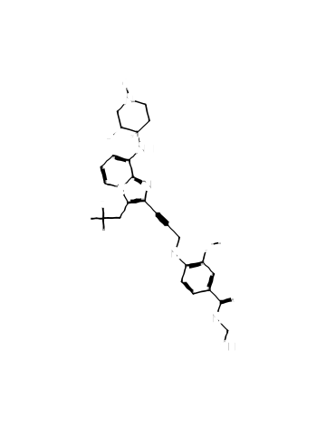 CCNC(=O)c1ccc(NCC#Cc2nc3c(N[C@@H]4CCN(C)C[C@@H]4F)cccn3c2CC(F)(F)F)c(OC)c1